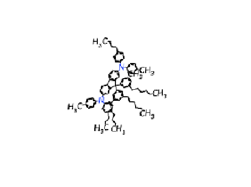 CCCCCCc1cc(C)cc(C2(c3cc(CCCCCC)cc(CCCCCC)c3)c3cc(N(c4ccc(C)cc4)c4ccc(CCCC)cc4)ccc3-c3ccc(N(c4ccc(C)cc4)c4ccc(CCCC)cc4)cc32)c1